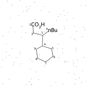 CCCCC(CC(=O)O)C1CCCCC1